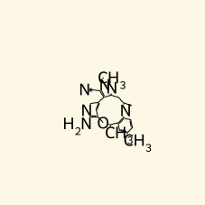 Cc1ccc2c(c1)[C@@H](C)Oc1cc(cnc1N)-c1c(nn(C)c1C#N)CC1CN21